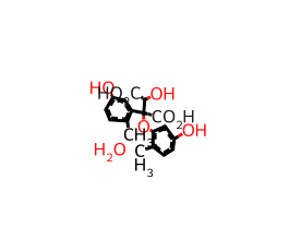 Cc1ccc(O)cc1OC(C(=O)O)(c1cc(O)ccc1C)C(O)C(=O)O.O